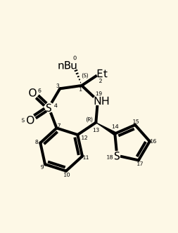 CCCC[C@@]1(CC)CS(=O)(=O)c2ccccc2[C@H](c2cccs2)N1